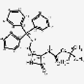 CC(C)(C)OC(=O)N[C@H]1C(=O)N[C@H]1CSC(c1ccccc1)(c1ccccc1)c1ccccc1